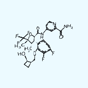 C[C@H]1[C@@H](c2ccc(F)c(F)c2OC[C@H]2CC[C@H]2O)[C@H](C(=O)Nc2ccnc(C(N)=O)c2)O[C@@]1(C)C(F)(F)F